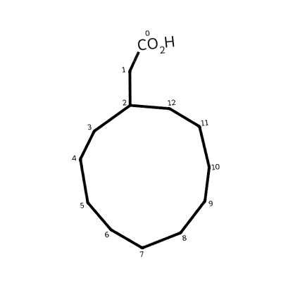 O=C(O)CC1CCCCCCCCCC1